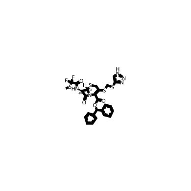 CSC(F)(F)C(=O)N[C@@H]1C(=O)N2C(C(=O)OC(c3ccccc3)c3ccccc3)=C(SCSc3c[nH]nn3)CS[C@@H]12